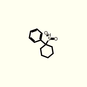 O=[SH](=O)C1(c2ccccc2)CCCCC1